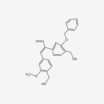 COc1cc(/C=C(/C=O)c2ccc(CO)c(OCc3ccccc3)c2)ccc1CO